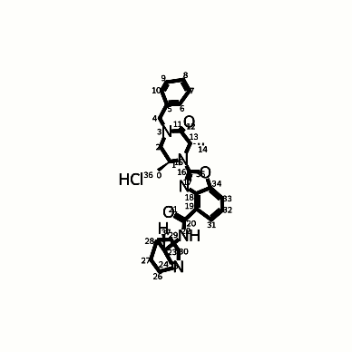 C[C@H]1CN(Cc2ccccc2)C(=O)[C@H](C)N1c1nc2c(C(=O)N[C@@H]3CN4CCC3CC4)cccc2o1.Cl